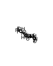 COc1cc(-c2cc(C(=O)N3C[C@@H](C)[C@@H](C(=O)NC4CCC(O)(C(F)(F)F)CC4)C[C@H]3C)n[nH]2)c(F)cn1